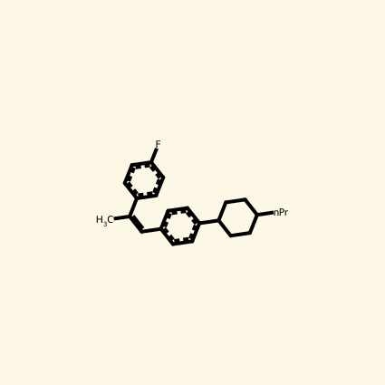 CCCC1CCC(c2ccc(C=C(C)c3ccc(F)cc3)cc2)CC1